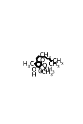 COc1c(O)c(C)c2c(c1OC)O[C@](C)(CCC=C(C)C)C=C2